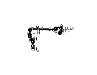 CCOC(=O)C1=C(Nc2ccccc2)S/C(=C\c2ccc(OCCOCCOCCOCCNC(=O)CCCOc3cccc(-c4nc5ccc(-c6nc7cc(N8CCN(C)CC8)ccc7[nH]6)cc5[nH]4)c3)c(O)c2)C1=O